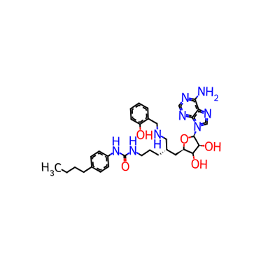 CCCCc1ccc(NC(=O)NCCC[C@H](CNCc2ccccc2O)C[C@H]2O[C@@H](n3cnc4c(N)ncnc43)[C@@H](O)C2O)cc1